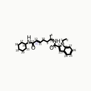 CCn1c(C(=O)N[C@H](C)CC/C=C/C(=O)NC2CCCCC2)cc2ccccc21